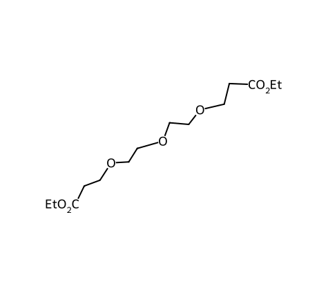 CCOC(=O)CCOCCOCCOCCC(=O)OCC